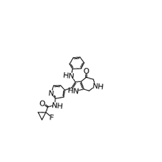 O=C1CNCc2[nH]c(-c3ccnc(NC(=O)C4(F)CC4)c3)c(Nc3ccccc3)c21